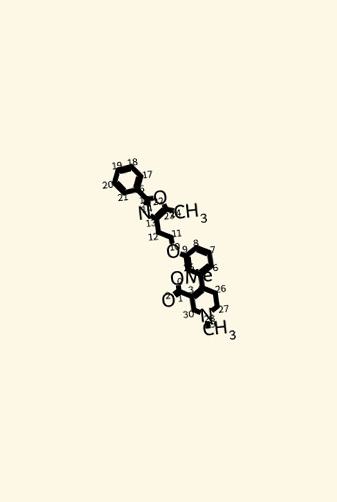 COC(=O)C1=C(c2cccc(OCCc3nc(-c4ccccc4)oc3C)c2)CCN(C)C1